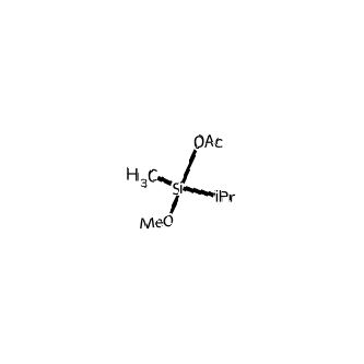 CO[Si](C)(OC(C)=O)C(C)C